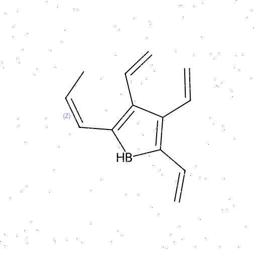 C=CC1=C(C=C)C(C=C)=C(/C=C\C)B1